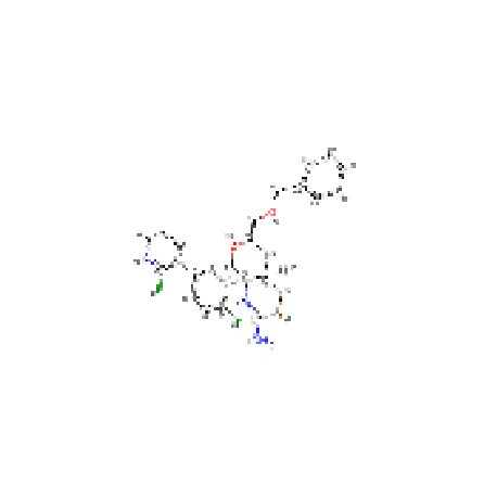 NC1=N[C@@]2(c3cc(-c4cccnc4F)ccc3F)CO[C@@H](COCc3ccccc3)C[C@H]2CS1